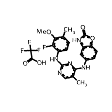 COc1c(C)ccc(Nc2ncc(C)c(Nc3ccc4oc(=O)[nH]c4c3)n2)c1F.O=C(O)C(F)(F)F